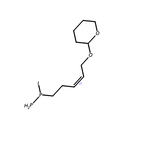 PP(I)CC/C=C\COC1CCCCO1